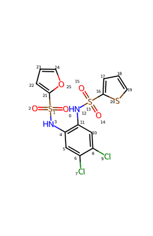 O=S(=O)(Nc1cc(Cl)c(Cl)cc1NS(=O)(=O)c1cccs1)c1ccco1